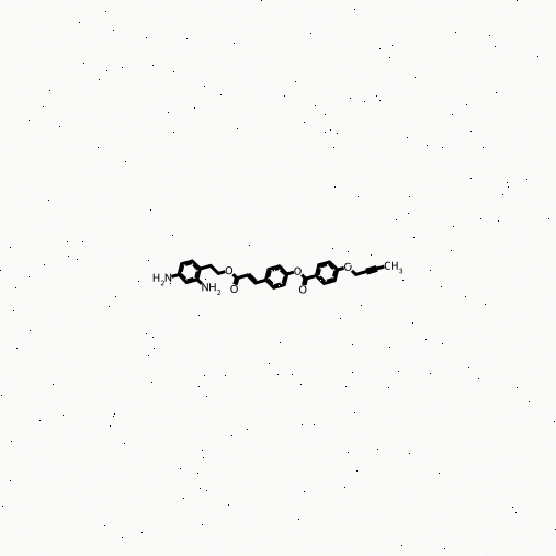 CC#CCOc1ccc(C(=O)Oc2ccc(C=CC(=O)OCCc3ccc(N)cc3N)cc2)cc1